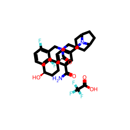 NC(=O)c1cccc(C2CC3CCC(C2)N3CCN(Cc2c(F)cccc2F)C(=O)[C@H]2CC[C@H](O)CC2)c1.O=C(O)C(F)(F)F